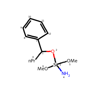 CCCC(O[Si](N)(OC)OC)c1ccccc1